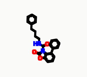 O=C(NCCCCc1ccccc1)n1c(=O)oc2cccc(-c3ccccc3)c21